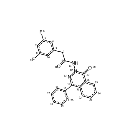 O=C(Cc1cc(F)cc(F)c1)Nn1nc(-c2ccccn2)c2ccccc2c1=O